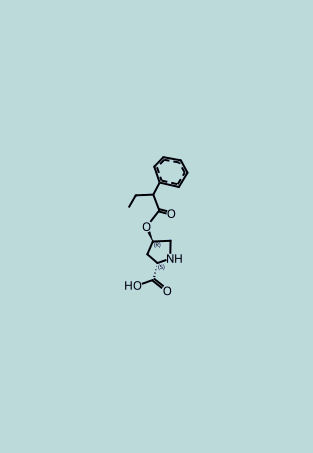 CCC(C(=O)O[C@H]1CN[C@H](C(=O)O)C1)c1ccccc1